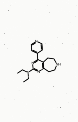 CCN(CC)c1nc2c(c(-c3ccncc3)n1)CCNCC2